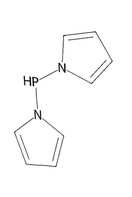 c1ccn(Pn2cccc2)c1